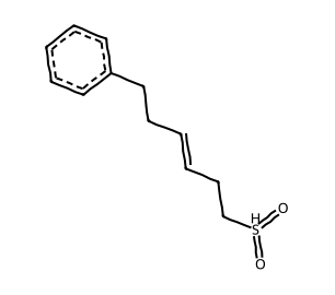 O=[SH](=O)CCC=CCCc1ccccc1